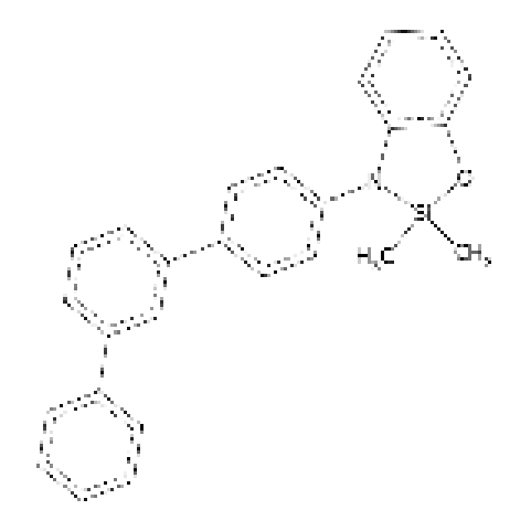 C[Si]1(C)Oc2ccccc2N1c1ccc(-c2cccc(-c3ccccc3)c2)cc1